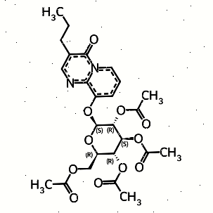 CCCc1cnc2c(O[C@@H]3O[C@H](COC(C)=O)[C@@H](OC(C)=O)[C@H](OC(C)=O)[C@H]3OC(C)=O)cccn2c1=O